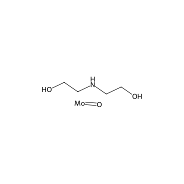 OCCNCCO.[O]=[Mo]